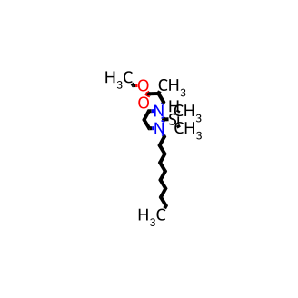 CCCCCCCCCCN1CCCN(CC(C)C(=O)OCC)C1[SiH](C)C